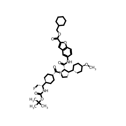 CO[C@H]1CC[C@H]([C@@H]2CCN(C(=O)[C@H]3CC[C@H]([C@@H](CF)NC(=O)OC(C)(C)C)CC3)[C@@H]2C(=O)Nc2ccc3oc(C(=O)OCC4CCCCC4)cc3c2)CC1